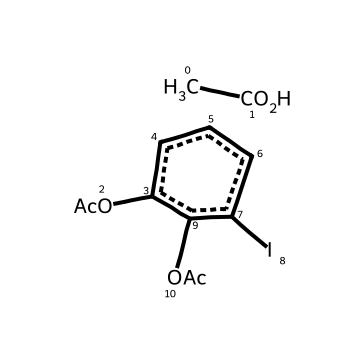 CC(=O)O.CC(=O)Oc1cccc(I)c1OC(C)=O